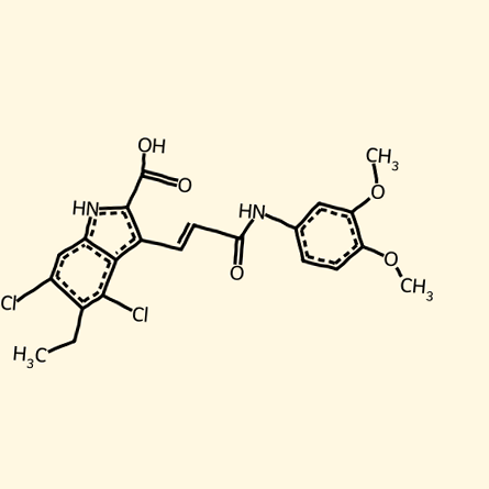 CCc1c(Cl)cc2[nH]c(C(=O)O)c(C=CC(=O)Nc3ccc(OC)c(OC)c3)c2c1Cl